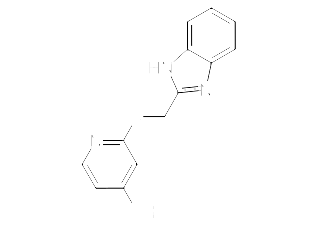 Cc1ccnc(SCc2nc3ccccc3[nH]2)c1